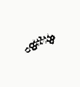 CCC(NC(C)N1C(=O)c2cccc3cccc(c23)C1=O)N(C(C)C)C(C)N1C(=O)c2cccc3c(N4CCOCC4)ccc(c23)C1=O